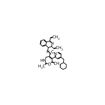 C=CC1=NC(C=C)C(CCC2=C(c3cc(CC4CCCCC4)cc[n+]3C)C(=C)OC(=C)NC2)c2ccccc21